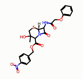 CC1(O)CS[C@@H]2C(NC(=O)COc3ccccc3)C(=O)N2C1C(=O)OCc1ccc([N+](=O)[O-])cc1